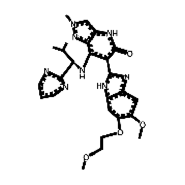 COCCOc1cc2[nH]c(-c3c(N[C@@H](c4ncccn4)C(C)C)c4nn(C)cc4[nH]c3=O)nc2cc1OC